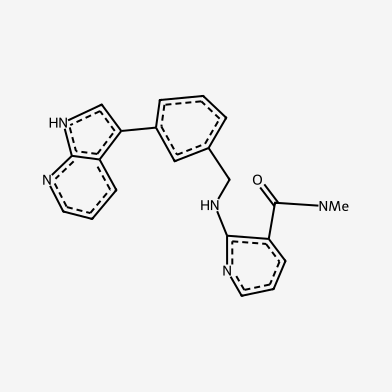 CNC(=O)c1cccnc1NCc1cccc(-c2c[nH]c3ncccc23)c1